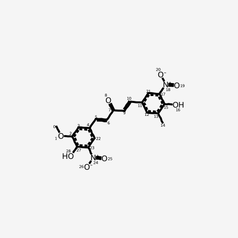 COc1cc(/C=C/C(=O)/C=C/c2cc(C)c(O)c([N+](=O)[O-])c2)cc([N+](=O)[O-])c1O